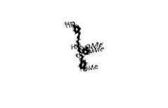 COc1ccc(CCC(=O)N(CC(=O)NCCCCCc2ccc(O)cc2)c2ccc(OC)c(OC)c2)cc1